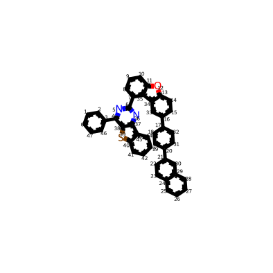 c1ccc(-c2nc(-c3cccc4oc5ccc(-c6ccc(-c7ccc8ccccc8c7)cc6)cc5c34)nc3c2sc2ccccc23)cc1